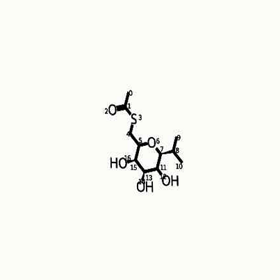 CC(=O)SCC1O[C@@H](C(C)C)C(O)[C@@H](O)[C@H]1O